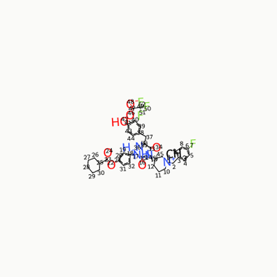 C[N+]1(Cc2ccc(F)cc2)CCC[C@H](N(C(=O)Nc2ccc(OC(=O)C3CCCCC3)cc2)C(=O)[C@@H](N)Cc2ccc(O)cc2)C1.O=C([O-])C(F)(F)F